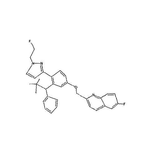 CC(C)(C)C(c1ccccc1)c1cc(OCc2ccc3cc(F)ccc3n2)ccc1-c1ccn(CCF)n1